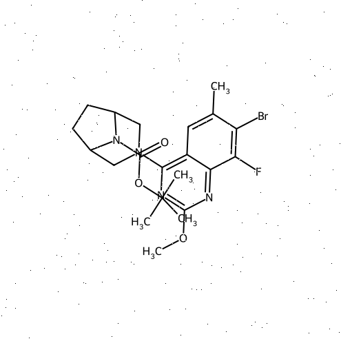 COc1nc(N2CC3CCC(C2)N3C(=O)OC(C)(C)C)c2cc(C)c(Br)c(F)c2n1